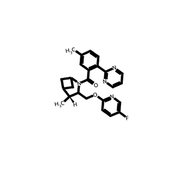 Cc1ccc(-c2ncccn2)c(C(=O)N2C3CC(C3)[C@@H](C)C2COc2ccc(F)cn2)c1